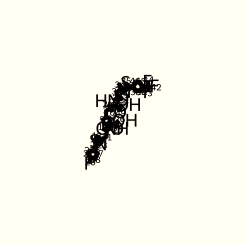 CC(C)(CC1CCC(NC(=O)Cc2csc(-c3ccc(F)cc3)n2)(C(=O)O)C1)[C@H](NC(=O)Cc1csc(-c2ccc(C(F)(F)F)cc2)n1)C(=O)O